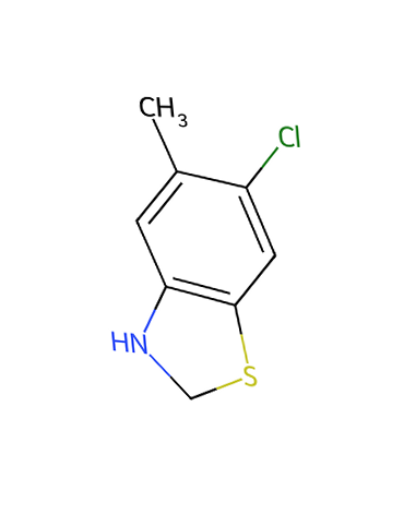 Cc1cc2c(cc1Cl)SCN2